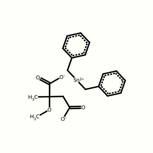 COC(C)(CC(=O)[O-])C(=O)[O-].c1ccc([CH2][Sn+2][CH2]c2ccccc2)cc1